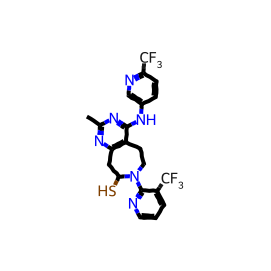 Cc1nc2c(c(Nc3ccc(C(F)(F)F)nc3)n1)CCN(c1ncccc1C(F)(F)F)C(S)C2